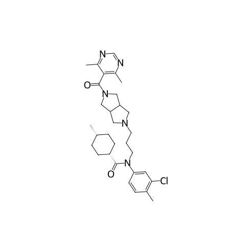 Cc1ccc(N(CCCN2CC3CN(C(=O)c4c(C)ncnc4C)CC3C2)C(=O)[C@H]2CC[C@@H](C)CC2)cc1Cl